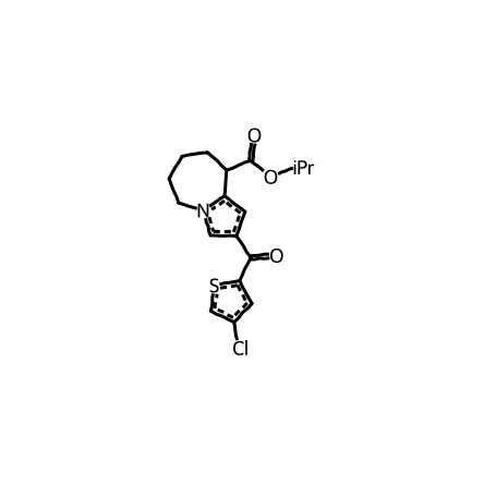 CC(C)OC(=O)C1CCCCn2cc(C(=O)c3cc(Cl)cs3)cc21